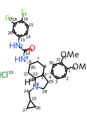 COc1ccc([C@@]23CC[C@@H](NC(=O)Nc4ccc(F)c(F)c4)C[C@@H]2N(CC2CC2)CC3)cc1OC.Cl